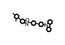 Cc1ccc(-c2ccc3nc(-c4ccc(-c5ccc(-n6c7ccccc7c7ccccc76)cc5)cc4)oc3c2)c(C)c1